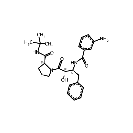 CC(C)(C)NC(=O)[C@@H]1CSCN1C(=O)[C@@H](O)[C@H](Cc1ccccc1)NC(=O)c1cccc(N)c1